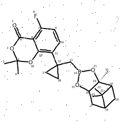 CC1(C)OC(=O)c2c(F)ccc(C3(CB4OC5CC6CC(C6(C)C)[C@]5(C)O4)CC3)c2O1